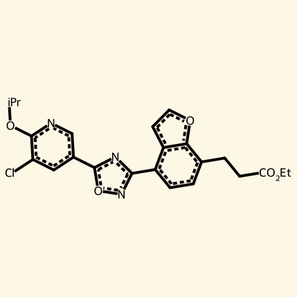 CCOC(=O)CCc1ccc(-c2noc(-c3cnc(OC(C)C)c(Cl)c3)n2)c2ccoc12